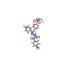 NS(=O)(=O)c1ccc(-c2sc(NC(=O)c3ccc(Br)cc3)nc2-c2ccc(F)cc2)cc1